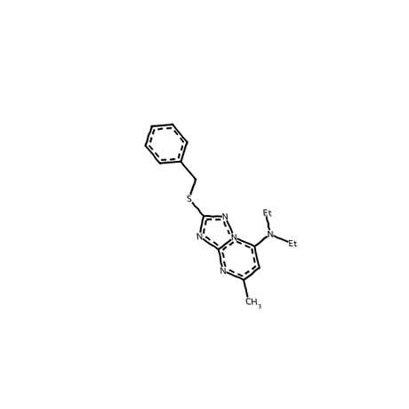 CCN(CC)c1cc(C)nc2nc(SCc3ccccc3)nn12